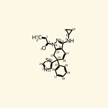 C=CC(=O)n1nc(NC2CC2)c2c1CC(c1ccccc1)(c1cncs1)C=C2